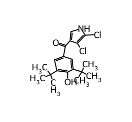 CC(C)(C)c1cc(C(=O)c2c[nH]c(Cl)c2Cl)cc(C(C)(C)C)c1O